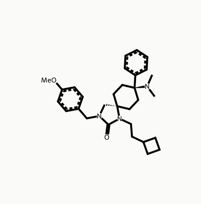 COc1ccc(CN2C[C@]3(CC[C@](c4ccccc4)(N(C)C)CC3)N(CCC3CCC3)C2=O)cc1